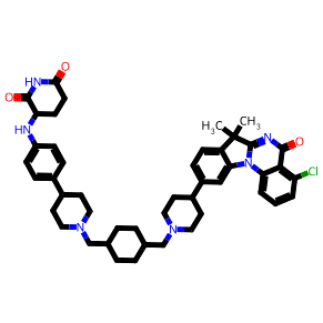 CC1(C)c2ccc(C3CCN(CC4CCC(CN5CCC(c6ccc(NC7CCC(=O)NC7=O)cc6)CC5)CC4)CC3)cc2-n2c1nc(=O)c1c(Cl)cccc12